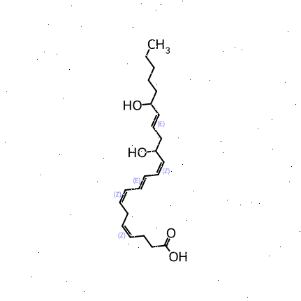 CCCCCC(O)/C=C/CC(O)\C=C/C=C/C=C\C/C=C\CCC(=O)O